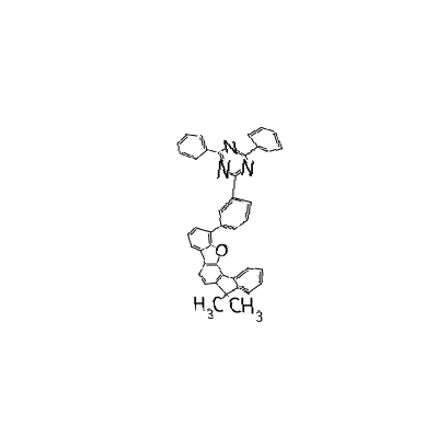 CC1(C)c2ccccc2-c2c1ccc1c2oc2c(-c3cccc(-c4nc(-c5ccccc5)nc(-c5ccccc5)n4)c3)cccc21